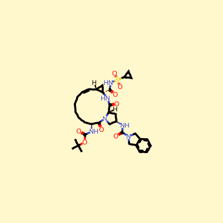 CC(C)(C)OC(=O)N[C@H]1CCCCC/C=C\[C@@H]2C[C@@]2(C(=O)NS(=O)(=O)C2CC2)NC(=O)[C@@H]2C[C@@H](NC(=O)N3Cc4ccccc4C3)CN2C1=O